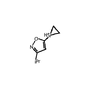 CC(C)c1cc([SiH]2CC2)on1